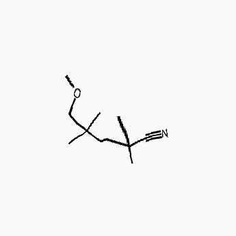 COCC(C)(C)CC(C)(C)C#N